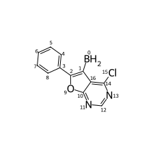 Bc1c(-c2ccccc2)oc2ncnc(Cl)c12